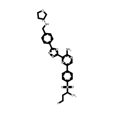 CC(CCF)S(=O)(=O)c1ccc(-c2cnc(N)c(-c3nnc(-c4ccc(CN[C@@H]5CCOC5)cc4)o3)n2)cc1